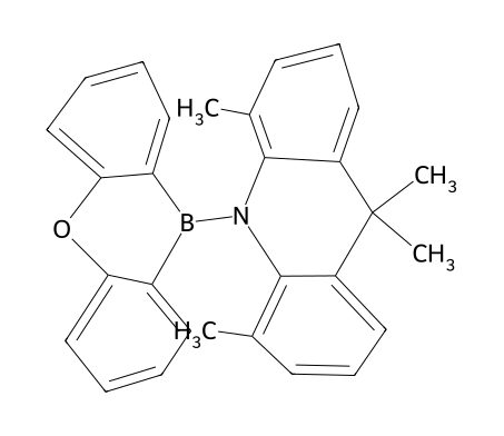 Cc1cccc2c1N(B1c3ccccc3Oc3ccccc31)c1c(C)cccc1C2(C)C